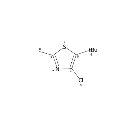 Cc1nc(Cl)c(C(C)(C)C)s1